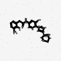 O=C(Cc1cccc(C(F)(F)F)c1F)Nc1cnc(-n2cnc([C@@H]3COCCN3)c2)c(F)c1